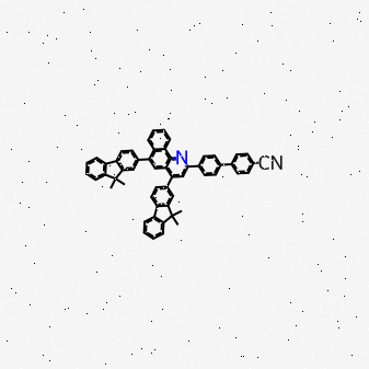 CC1(C)c2ccccc2-c2ccc(-c3cc4c(-c5ccc6c(c5)C(C)(C)c5ccccc5-6)cc(-c5ccc(-c6ccc(C#N)cc6)cc5)nc4c4ccccc34)cc21